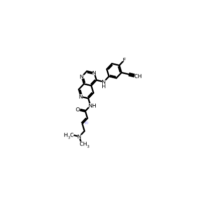 C#Cc1cc(Nc2ncnc3cnc(NC(=O)/C=C/CN(C)C)cc23)ccc1F